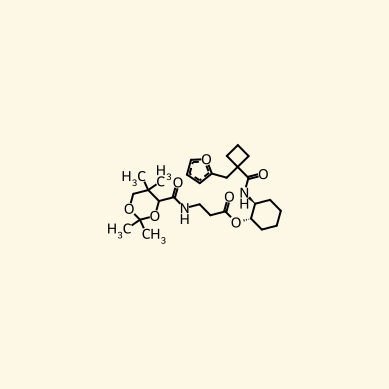 CC1(C)OCC(C)(C)C(C(=O)NCCC(=O)O[C@H]2CCCC[C@@H]2NC(=O)C2(Cc3ccco3)CCC2)O1